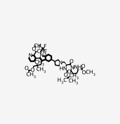 COC(=O)[C@@H]1CCCN(C(=O)[C@H](CN2CCC(c3ccc4c(c3)c(CC(C)(C)COC(C)=O)c(-c3cccnc3[C@H](C)OC)n4CC(F)(F)F)C2)NC(=O)OC(C)(C)C)N1